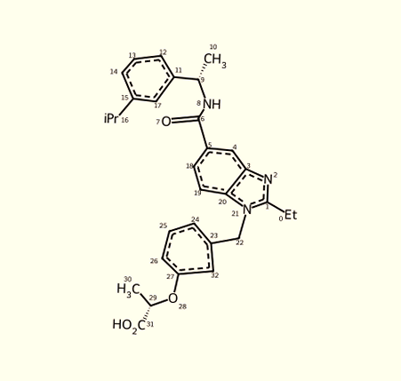 CCc1nc2cc(C(=O)N[C@@H](C)c3cccc(C(C)C)c3)ccc2n1Cc1cccc(O[C@@H](C)C(=O)O)c1